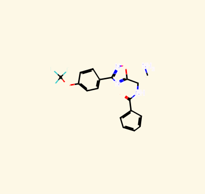 NC[C@H](NC(=O)c1ccccc1)c1nc(-c2ccc(OC(F)(F)F)cc2)no1